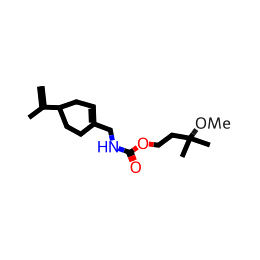 C=C(C)C1CC=C(CNC(=O)OCCC(C)(C)OC)CC1